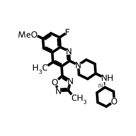 COc1cc(F)c2nc(N3CCC(N[C@H]4CCCOC4)CC3)c(-c3nc(C)no3)c(C)c2c1